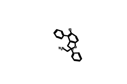 NC[C@@]1(c2ccccc2)Cc2c(ccc(Cl)c2-c2ccccc2)O1